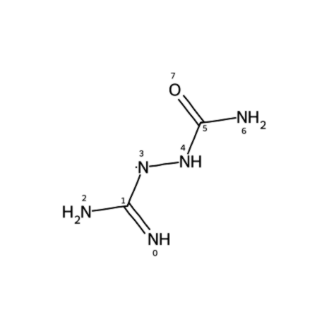 N=C(N)[N]NC(N)=O